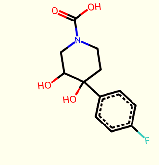 O=C(O)N1CCC(O)(c2ccc(F)cc2)C(O)C1